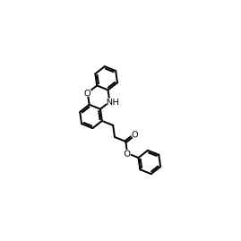 O=C(CCc1cccc2c1Nc1ccccc1O2)Oc1ccccc1